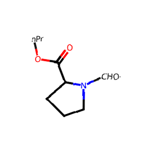 CCCOC(=O)C1CCCN1[C]=O